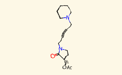 CC(=O)O[C@@H]1CCN(CC#CCN2CCCCC2)C1=O